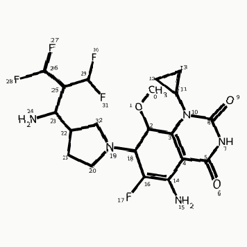 COC1c2c(c(=O)[nH]c(=O)n2C2CC2)C(N)=C(F)C1N1CCC(C(N)C(C(F)F)C(F)F)C1